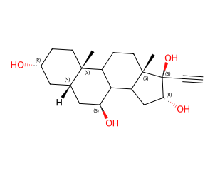 C#C[C@]1(O)[C@H](O)CC2C3C(CC[C@@]21C)[C@@]1(C)CC[C@@H](O)C[C@H]1C[C@@H]3O